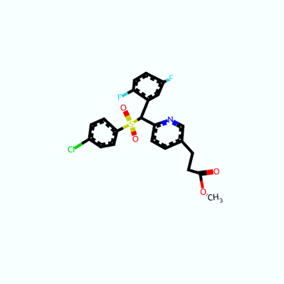 COC(=O)CCc1ccc(C(c2cc(F)ccc2F)S(=O)(=O)c2ccc(Cl)cc2)nc1